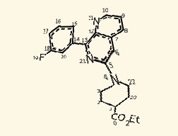 CCOC(=O)C1CCN(c2cc3cccnc3c(-c3cccc(F)c3)n2)CC1